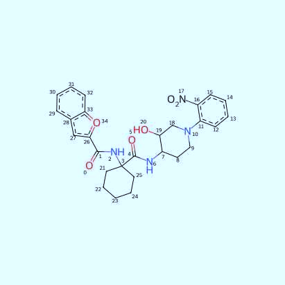 O=C(NC1(C(=O)NC2CCN(c3ccccc3[N+](=O)[O-])CC2O)CCCCC1)c1cc2ccccc2o1